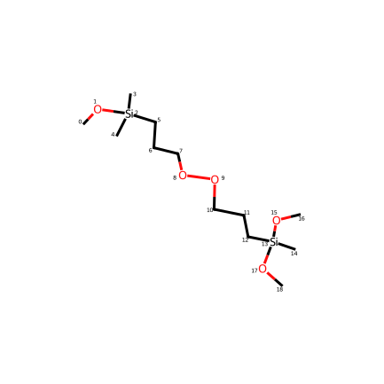 CO[Si](C)(C)CCCOOCCC[Si](C)(OC)OC